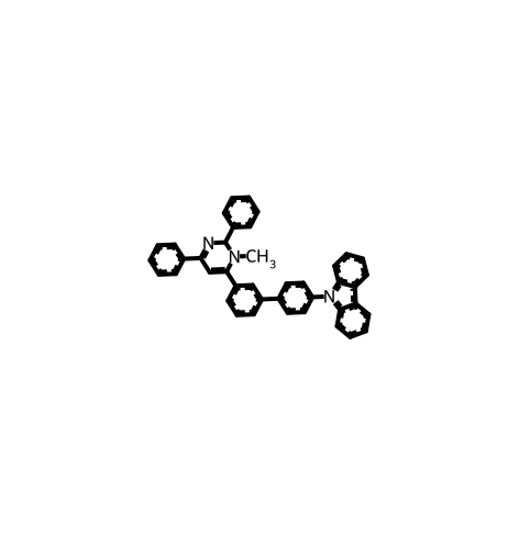 CN1C(c2cccc(-c3ccc(-n4c5ccccc5c5ccccc54)cc3)c2)=CC(c2ccccc2)=NC1c1ccccc1